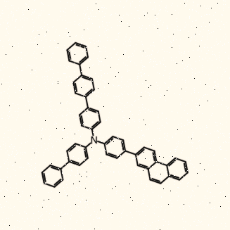 c1ccc(-c2ccc(-c3ccc(N(c4ccc(-c5ccccc5)cc4)c4ccc(-c5ccc6c(ccc7ccccc76)c5)cc4)cc3)cc2)cc1